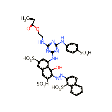 C=CC(=O)OCCNc1nc(Nc2ccc(S(=O)(=O)O)cc2)nc(Nc2cc(S(=O)(=O)O)cc3cc(S(=O)(=O)O)c(/N=N/c4ccc5ccccc5c4S(=O)(=O)O)c(O)c23)n1